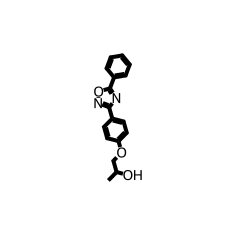 CC(O)COc1ccc(-c2noc(-c3ccccc3)n2)cc1